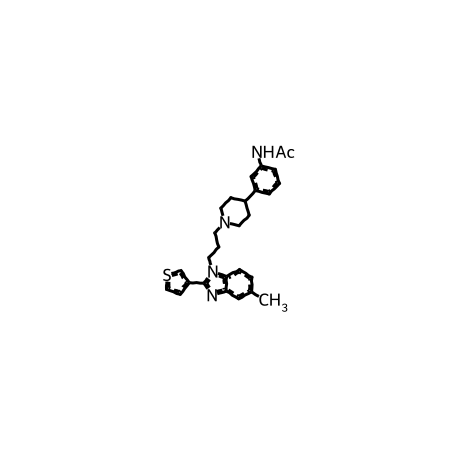 CC(=O)Nc1cccc(C2CCN(CCCn3c(-c4ccsc4)nc4cc(C)ccc43)CC2)c1